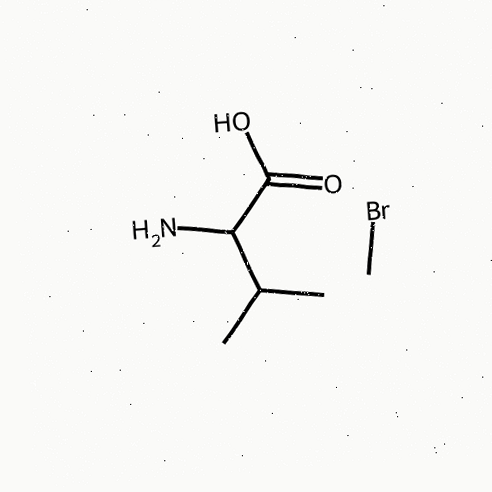 CBr.CC(C)C(N)C(=O)O